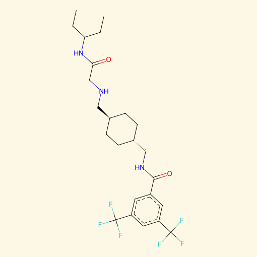 CCC(CC)NC(=O)CNC[C@H]1CC[C@H](CNC(=O)c2cc(C(F)(F)F)cc(C(F)(F)F)c2)CC1